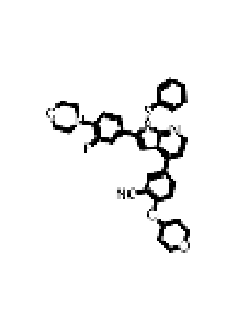 N#Cc1cc(-c2ccnc3c2cc(-c2ccc(N4CCOCC4)c(F)c2)n3Sc2ccccc2)ccc1OC1CCOCC1